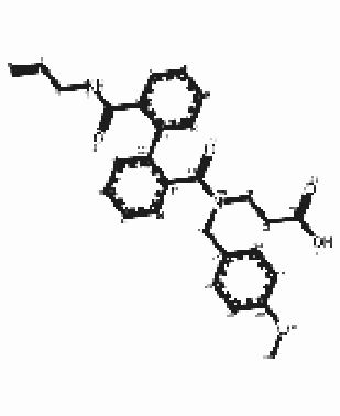 C=CCNC(=O)c1ccccc1-c1ccccc1C(=O)N(CCC(=O)O)Cc1ccc(OC)cc1